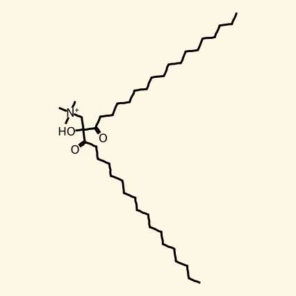 CCCCCCCCCCCCCCCCCC(=O)C(O)(C[N+](C)(C)C)C(=O)CCCCCCCCCCCCCCCCC